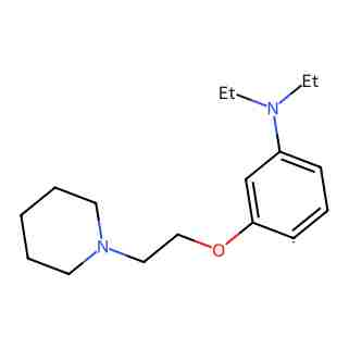 CCN(CC)c1cc[c]c(OCCN2CCCCC2)c1